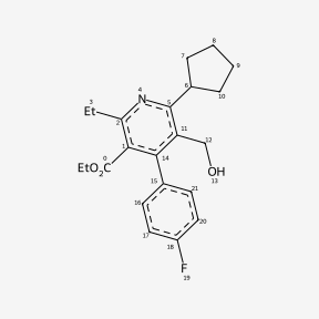 CCOC(=O)c1c(CC)nc(C2CCCC2)c(CO)c1-c1ccc(F)cc1